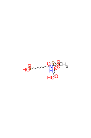 CS(=O)(=O)c1csc(NC(=O)CCCCCCCCCS(=O)O)c1OCCCC(=O)O